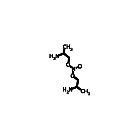 CC(N)CO[N+](=O)OCC(C)N